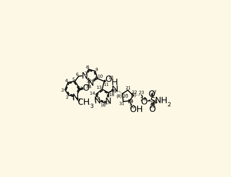 Cn1cccc(Cn2ccc(C(=O)c3cncnc3N[C@@H]3C[C@H](COS(N)(=O)=O)[C@@H](O)C3)n2)c1=O